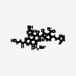 Cn1nnnc1SCC1=C(C(=O)[O-])N2C(=O)[C@@H](NC(=O)C(c3csc(=N)[nH]3)N(C(N)=O)c3cnc(NCCO)nc3O)[C@@H]2SC1.[Na+]